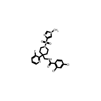 Cn1cnc(S(=O)(=O)N2CCC(CNC(=O)c3ccc(Cl)cc3Cl)(c3ncccc3F)CC2)c1